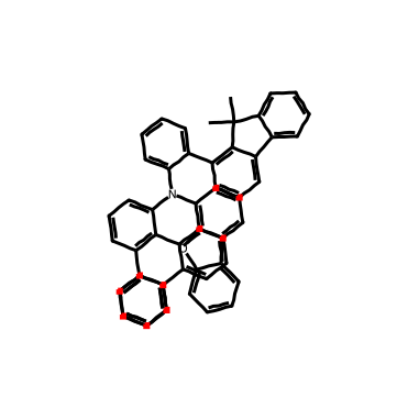 CC1(C)c2ccccc2-c2cccc(-c3ccccc3N(c3cccc(-c4ccccc4)c3-c3ccccc3-c3ccccc3)c3cccc4c3oc3ccccc34)c21